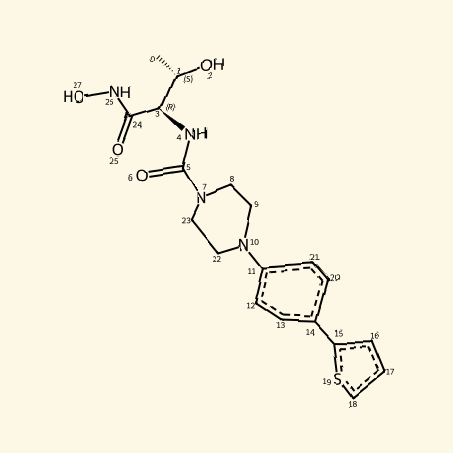 C[C@H](O)[C@@H](NC(=O)N1CCN(c2ccc(-c3cccs3)cc2)CC1)C(=O)NO